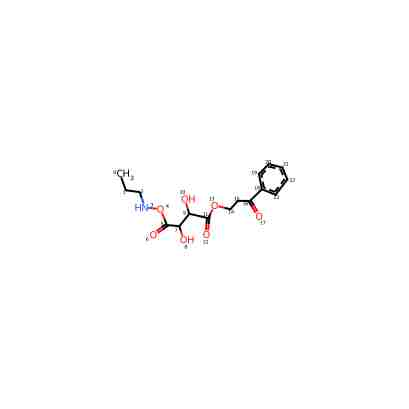 CCCNOC(=O)C(O)C(O)C(=O)OCCC(=O)c1ccccc1